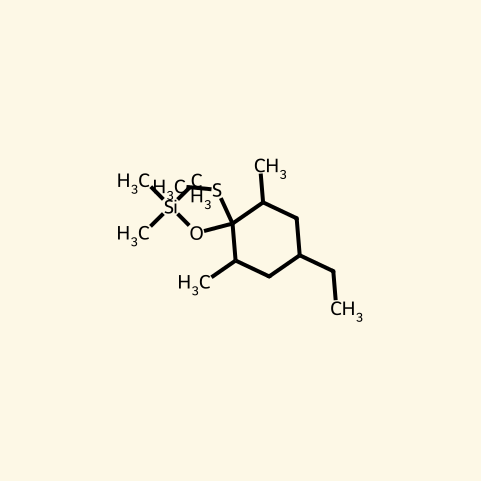 CCC1CC(C)C(O[Si](C)(C)C)(SC)C(C)C1